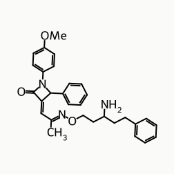 COc1ccc(N2C(=O)/C(=C/C(C)=NOCCC(N)CCc3ccccc3)C2c2ccccc2)cc1